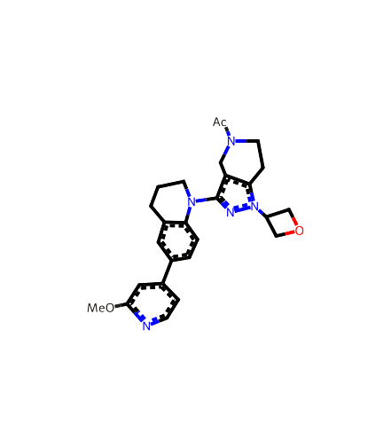 COc1cc(-c2ccc3c(c2)CCCN3c2nn(C3COC3)c3c2CN(C(C)=O)CC3)ccn1